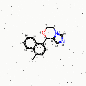 [C]c1ccc(C2OCCn3cncc32)c2ccccc12